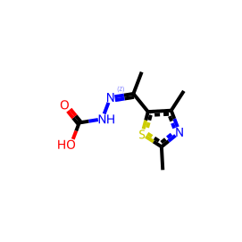 C/C(=N/NC(=O)O)c1sc(C)nc1C